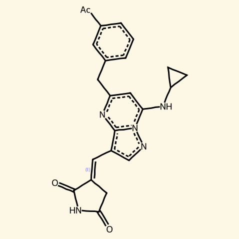 CC(=O)c1cccc(Cc2cc(NC3CC3)n3ncc(/C=C4\CC(=O)NC4=O)c3n2)c1